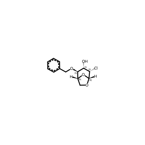 O[C@@H]1[C@H](Cl)[C@@H]2OC[C@@H](O2)[C@H]1OCc1ccccc1